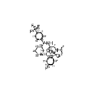 CC(C)N(CC(=O)N[C@H](c1ccc(C(F)(F)F)cc1)C1CCCNC1)S(=O)(=O)c1ccc(F)cc1